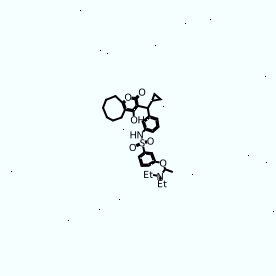 CCN(CC)C(C)Oc1cccc(S(=O)(=O)Nc2cccc(C(c3c(O)c4c(oc3=O)CCCCCC4)C3CC3)c2)c1